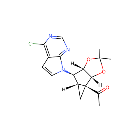 CC(=O)[C@@]12C[C@@H]1[C@@H](n1ccc3c(Cl)ncnc31)[C@@H]1OC(C)(C)O[C@@H]12